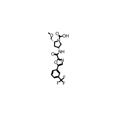 COC[C@H]1C[C@@H](NC(=O)c2ncc(-c3cccc(C(F)(F)F)c3)o2)CN1C(=O)O